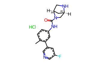 Cc1ccc(NC(=O)N2C[C@H]3C[C@@H]2CN3)cc1-c1cncc(F)c1.Cl